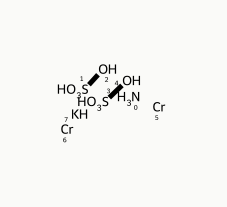 N.O=S(=O)(O)O.O=S(=O)(O)O.[Cr].[Cr].[KH]